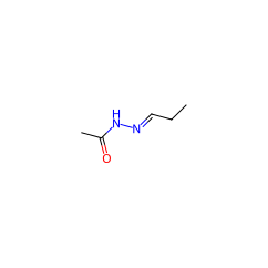 CCC=NNC(C)=O